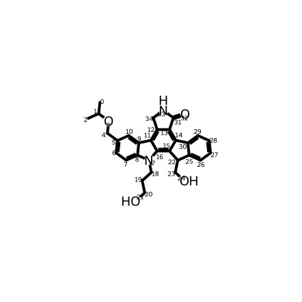 CC(C)OCc1ccc2c(c1)c1c3c(c4c(c1n2CCCO)C(CO)c1ccccc1-4)C(=O)NC3